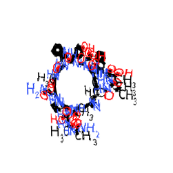 CC(=O)N[C@@H](CC(C)C)C(=O)N[C@H](C(=O)N[C@@H](Cc1ccccc1)C(=O)NC1(C)CCCCCCn2nncc2CCC[C@@](C)(C(=O)NC(CO)C(=O)N[C@@H](C)C(=O)NC(C)C(N)=O)NC(=O)[C@H](CC2CCC2)NN[C@@H](CCC(N)=O)C(=O)C(=O)C(C)NC(=O)[C@H](Cc2c[nH]c3ccccc23)NC(=O)C(Cc2ccc(O)cc2)NC(=O)[C@H](CCC(=O)O)NC1=O)[C@@H](C)O